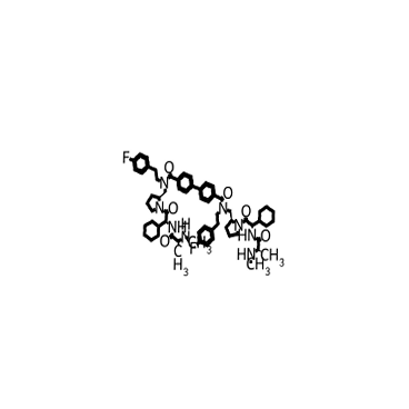 CN[C@@H](C)C(=O)N[C@H](C(=O)N1CCC[C@H]1CN(CCc1ccc(F)cc1)C(=O)c1ccc(-c2ccc(C(=O)N(CCc3ccc(F)cc3)C[C@@H]3CCCN3C(=O)[C@@H](NC(=O)[C@H](C)NC)C3CCCCC3)cc2)cc1)C1CCCCC1